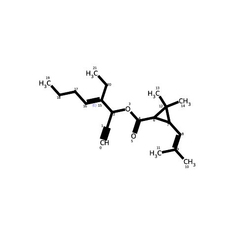 C#CC(OC(=O)C1C(C=C(C)C)C1(C)C)/C(=C/CCC)CC